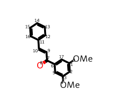 COc1cc(OC)cc(C(=O)/C=C/c2ccccc2)c1